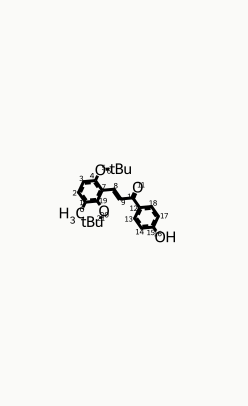 Cc1ccc(OC(C)(C)C)c(C=CC(=O)c2ccc(O)cc2)c1OC(C)(C)C